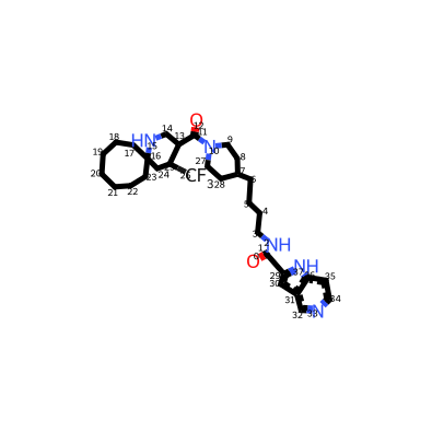 O=C(NCCCCC1CCN(C(=O)C2CNC3(CCCCCCC3)CC2C(F)(F)F)CC1)c1cc2cnccc2[nH]1